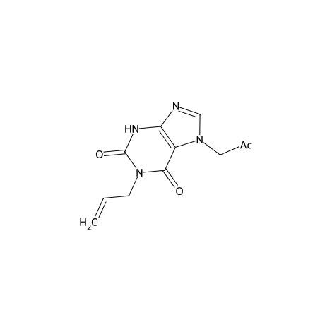 C=CCn1c(=O)[nH]c2ncn(CC(C)=O)c2c1=O